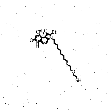 CCc1c(C)c2c3c(C(F)(F)F)cc(=O)[nH]c3ccc2n1CCCCCCCCCSCCOCCS